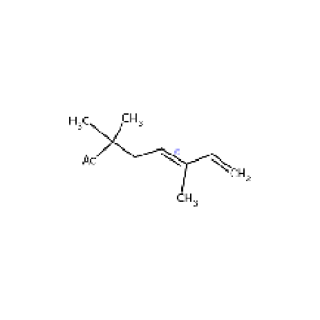 C=C/C(C)=C/CC(C)(C)C(C)=O